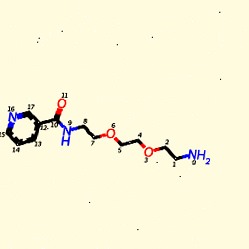 NCCOCCOCCNC(=O)c1cccnc1